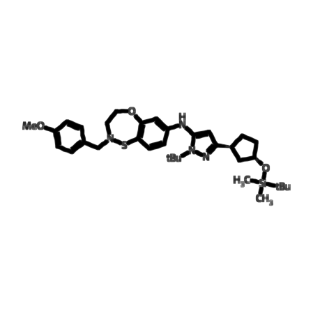 COc1ccc(CN2CCOc3cc(Nc4cc([C@H]5CC[C@@H](O[Si](C)(C)C(C)(C)C)C5)nn4C(C)(C)C)ccc3S2)cc1